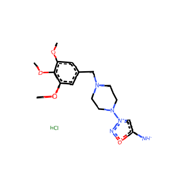 COc1cc(CN2CCN([n+]3cc([NH-])on3)CC2)cc(OC)c1OC.Cl